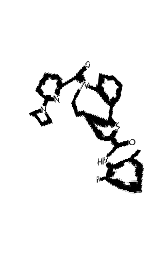 Cc1cccc(F)c1NC(=O)c1cc2c(s1)-c1ccccc1N(C(=O)c1cccc(N3CCC3)n1)CC2